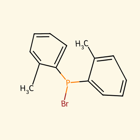 Cc1ccccc1P(Br)c1ccccc1C